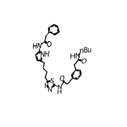 CCCCNC(=O)Cc1cccc(CC(=O)Nc2nnc(CCCCc3ccc(NC(=O)Cc4ccccc4)[nH]3)s2)c1